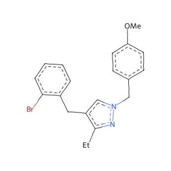 CCc1nn(Cc2ccc(OC)cc2)cc1Cc1ccccc1Br